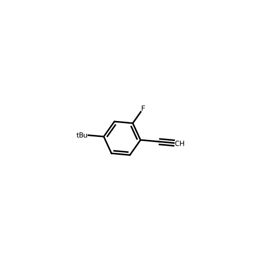 C#Cc1ccc(C(C)(C)C)cc1F